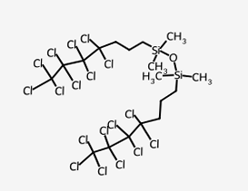 C[Si](C)(CCCC(Cl)(Cl)C(Cl)(Cl)C(Cl)(Cl)C(Cl)(Cl)Cl)O[Si](C)(C)CCCC(Cl)(Cl)C(Cl)(Cl)C(Cl)(Cl)C(Cl)(Cl)Cl